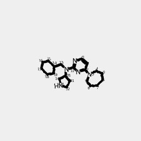 c1cc(N2CCCCCC2)nc(N(CC2CCCCC2)C2CCNC2)n1